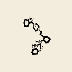 O=C(Nc1ccccc1F)Nc1ccccc1CCN1CCN(c2nsc3ccccc23)CC1